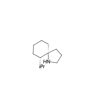 CC(C)[C@@H]1CCCC[C@@]12CCCN2